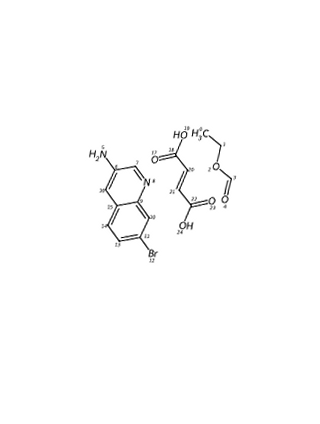 CCOC=O.Nc1cnc2cc(Br)ccc2c1.O=C(O)/C=C/C(=O)O